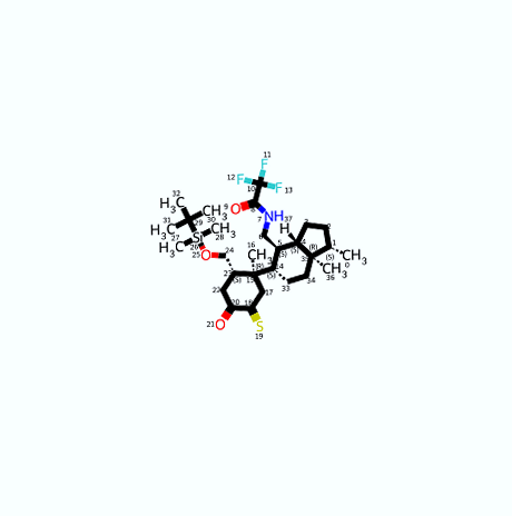 C[C@H]1CC[C@H]2[C@H](CNC(=O)C(F)(F)F)[C@@H]([C@@]3(C)CC(=S)C(=O)C[C@@H]3CO[Si](C)(C)C(C)(C)C)CC[C@]12C